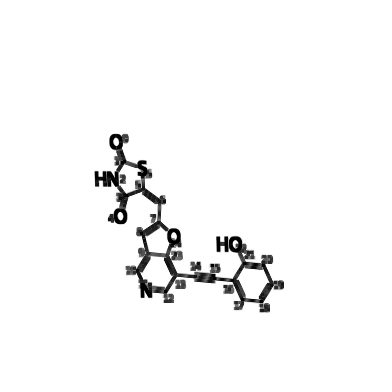 O=C1NC(=O)/C(=C\c2cc3cncc(C#Cc4ccccc4O)c3o2)S1